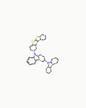 c1ccc2c(c1)sc1sc3ccc(-n4c5ccccc5c5cc(-n6c7ccccc7c7ccccc76)ccc54)cc3c12